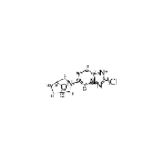 Clc1nc2ccc(N3CC4CCC(C3)O4)cn2n1